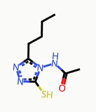 CCCCc1nnc(S)n1NC(C)=O